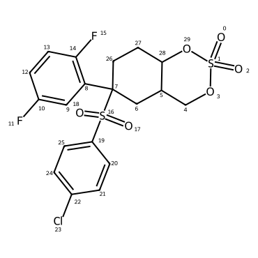 O=S1(=O)OCC2CC(c3cc(F)ccc3F)(S(=O)(=O)c3ccc(Cl)cc3)CCC2O1